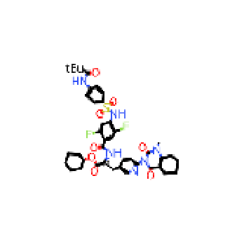 Cn1c2c(c(=O)n(-c3ccc(C[C@H](NC(=O)c4cc(F)c(NS(=O)(=O)c5ccc(NC(=O)C(C)(C)C)cc5)cc4F)C(=O)OC4CCCCC4)cn3)c1=O)CCCC2